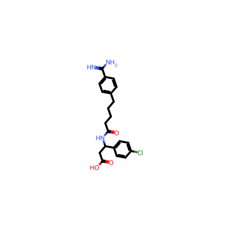 N=C(N)c1ccc(CCCCC(=O)NC(CC(=O)O)c2ccc(Cl)cc2)cc1